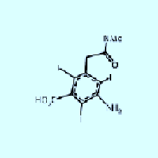 CNC(=O)Cc1c(I)c(N)c(I)c(C(=O)O)c1I